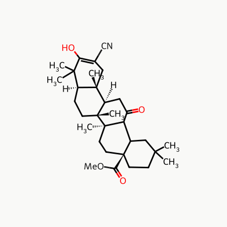 COC(=O)[C@]12CCC(C)(C)CC1C1C(=O)C[C@@H]3[C@@]4(C)CC(C#N)=C(O)C(C)(C)[C@@H]4CC[C@@]3(C)[C@]1(C)CC2